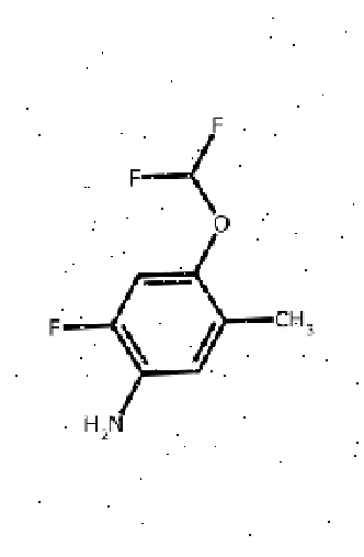 Cc1cc(N)c(F)cc1OC(F)F